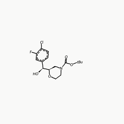 CC(C)(C)OC(=O)N1CCO[C@@H]([C@@H](O)c2ccc(Cl)c(F)c2)C1